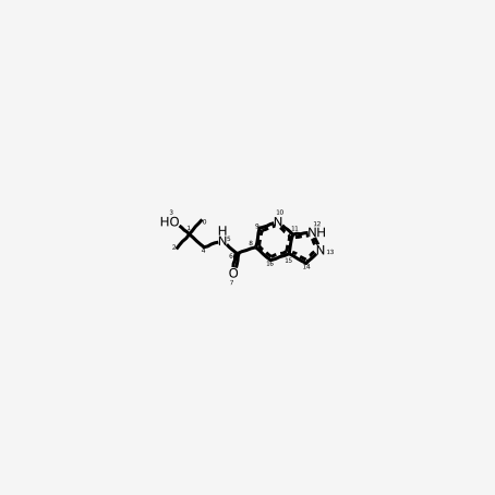 CC(C)(O)CNC(=O)c1cnc2[nH]ncc2c1